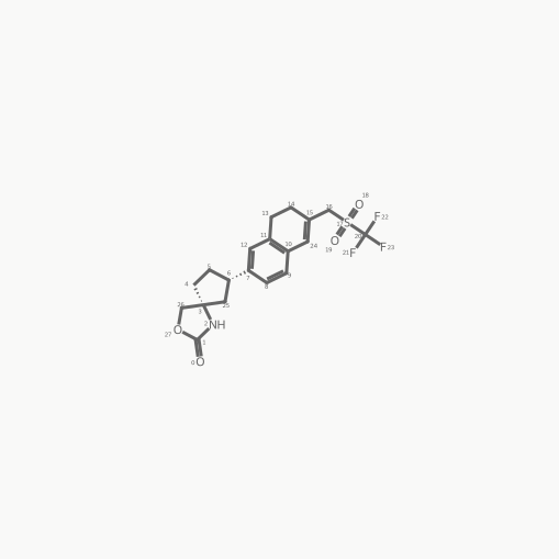 O=C1N[C@@]2(CC[C@H](c3ccc4c(c3)CCC(CS(=O)(=O)C(F)(F)F)=C4)C2)CO1